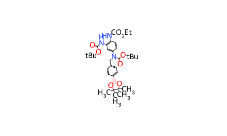 CCOC(=O)Nc1ccc(N(Cc2ccc(B3OC(C)(C)C(C)(C)O3)cc2)C(=O)OC(C)(C)C)cc1NC(=O)OC(C)(C)C